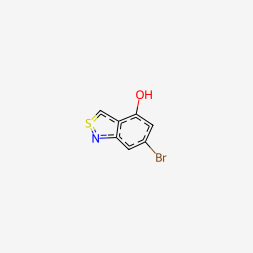 Oc1cc(Br)cc2nscc12